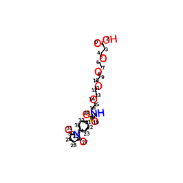 O=C(O)CCOCCOCCOCCOCCNS(=O)(=O)c1ccc(N2C(=O)C=CC2=O)cc1